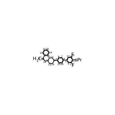 CCCc1c(F)cc(-c2ccc(C3CCC(C[C@H](C)c4ccccc4)CC3)cc2)cc1F